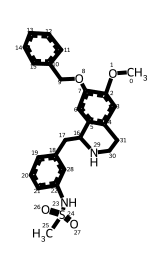 COc1cc2c(cc1OCc1ccccc1)C(Cc1cccc(NS(C)(=O)=O)c1)NCC2